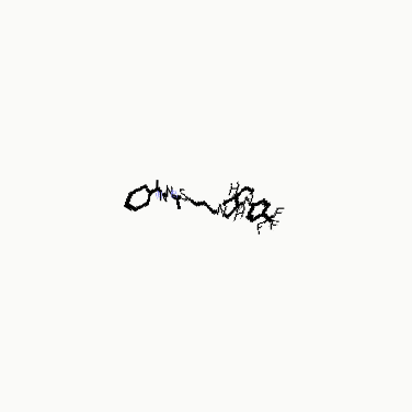 C/C(=N\N=C(/C)C1CCCCC1)SCCCN1C[C@@H]2CCN(c3ccc(C(F)(F)F)cc3)[C@@H]2C1